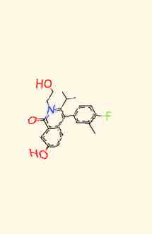 Cc1cc(-c2c(C(C)C)n(CCO)c(=O)c3cc(O)ccc23)ccc1F